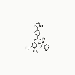 Cc1cc(OCc2ccc(-c3nnn[nH]3)cc2)c(N(CC(C)C)S(=O)(=O)c2cccnc2)cc1C